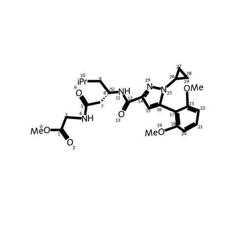 COC(=O)CNC(=O)C[C@H](CC(C)C)NC(=O)c1cc(-c2c(OC)cccc2OC)n(C2CC2)n1